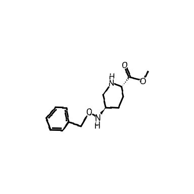 COC(=O)[C@@H]1CC[C@@H](NOCc2ccccc2)CN1